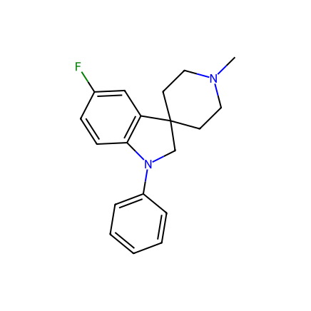 CN1CCC2(CC1)CN(c1ccccc1)c1ccc(F)cc12